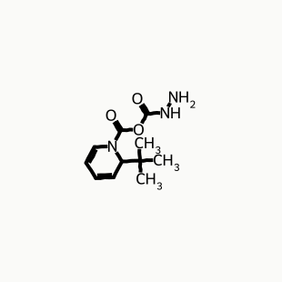 CC(C)(C)C1C=CC=CN1C(=O)OC(=O)NN